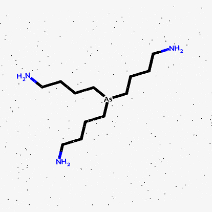 NCCCC[As](CCCCN)CCCCN